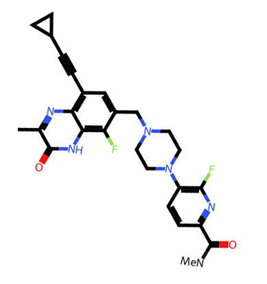 CNC(=O)c1ccc(N2CCN(Cc3cc(C#CC4CC4)c4nc(C)c(=O)[nH]c4c3F)CC2)c(F)n1